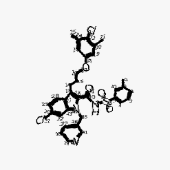 Cc1cccc(S(=O)(=O)NC(=O)c2c(CCCOc3cc(C)c(Cl)c(C)c3)c3ccc(Cl)cc3n2Cc2cccnc2)c1